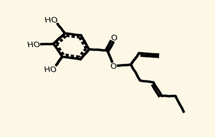 C=CC(CC=CCC)OC(=O)c1cc(O)c(O)c(O)c1